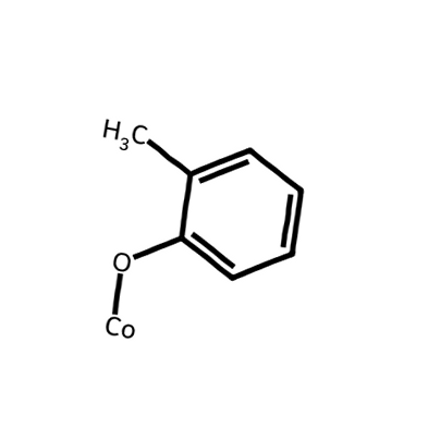 Cc1ccccc1[O][Co]